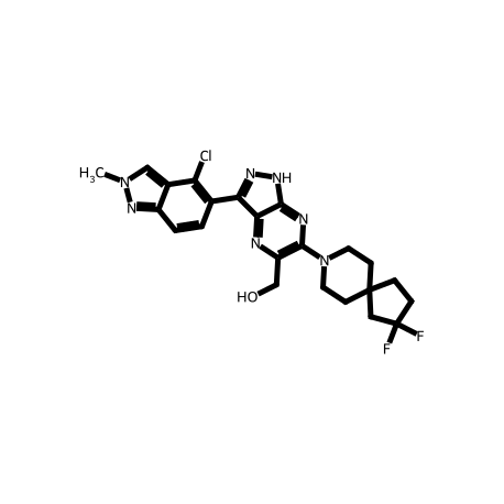 Cn1cc2c(Cl)c(-c3n[nH]c4nc(N5CCC6(CC5)CCC(F)(F)C6)c(CO)nc34)ccc2n1